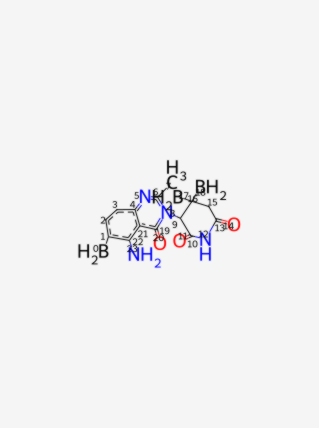 Bc1ccc2nc(C)n(C3C(=O)NC(=O)CC3(B)B)c(=O)c2c1N